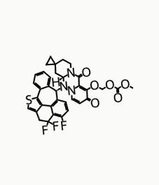 COC(=O)OCOc1c2n(ccc1=O)N([C@@H]1c3ccccc3-c3scc4c3-c3c1ccc(F)c3C(F)(F)C4)[C@@H]1CC3(CCN1C2=O)CC3